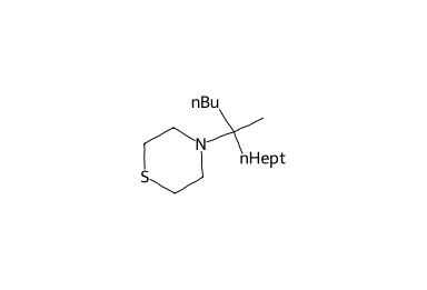 CCCCCCCC(C)(CCCC)N1CCSCC1